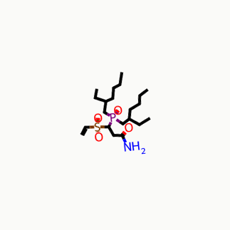 C=CS(=O)(=O)C(CC(N)=O)P(=O)(CC(CC)CCCC)CC(CC)CCCC